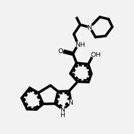 CC(CNC(=O)c1cc(-c2n[nH]c3c2Cc2ccccc2-3)ccc1O)N1CCCCC1